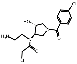 NCCN(C(=O)CCl)[C@@H]1CN(C(=O)c2ccc(Cl)cc2)C[C@H]1O